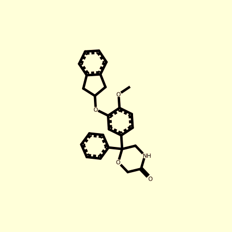 COc1ccc(C2(c3ccccc3)CNC(=O)CO2)cc1OC1Cc2ccccc2C1